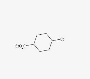 CCOC(=O)C1CCC(CC)CC1